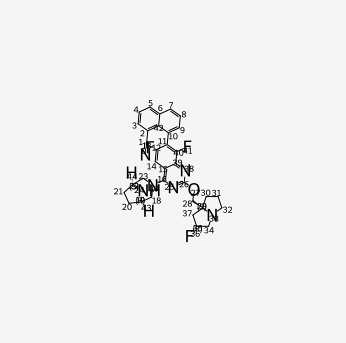 N#Cc1cccc2cccc(-c3c(F)cc4c(N5C[C@H]6CC[C@@H](C5)N6)nc(OC[C@@]56CCCN5C[C@H](F)C6)nc4c3F)c12